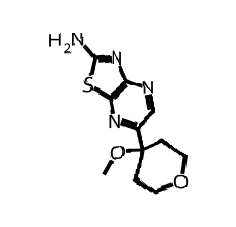 COC1(c2cnc3nc(N)sc3n2)CCOCC1